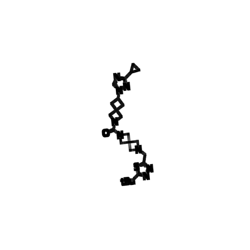 CC(C)(C)c1nnc(CN2CC3(C2)CN(C(=O)N2CC4(CC(n5cnc(C6CC6)n5)C4)C2)C3)s1